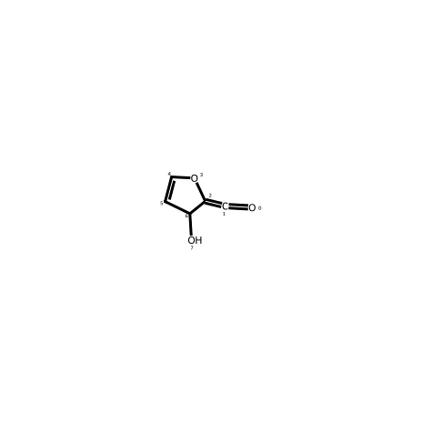 O=C=C1OC=CC1O